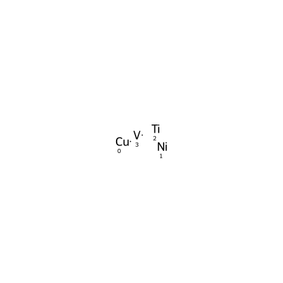 [Cu].[Ni].[Ti].[V]